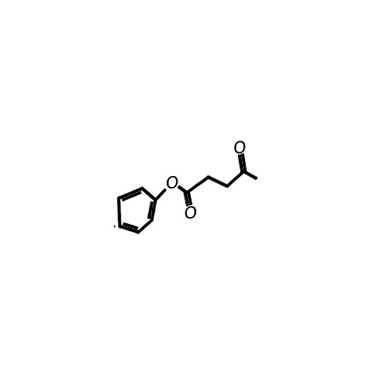 CC(=O)CCC(=O)Oc1cc[c]cc1